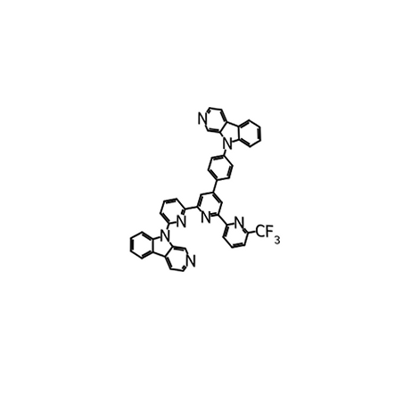 FC(F)(F)c1cccc(-c2cc(-c3ccc(-n4c5ccccc5c5ccncc54)cc3)cc(-c3cccc(-n4c5ccccc5c5ccncc54)n3)n2)n1